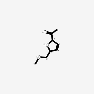 COCC1C=CC(C(C)=O)O1